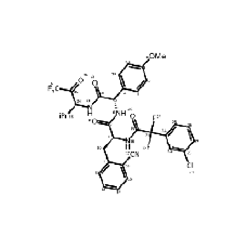 COc1ccc([C@H](NC(=O)[C@H](Cc2ccccc2C#N)NC(=O)C(F)(F)c2cccc(Cl)c2)C(=O)N[C@H](C(=O)C(F)(F)F)C(C)C)cc1